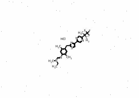 CCN(C)C=Nc1cc(C)c(Cc2nc(-c3cnc(C(C)(C)C(F)(F)F)cn3)cs2)cc1C.Cl